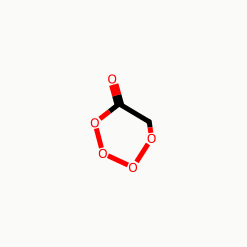 O=C1COOOO1